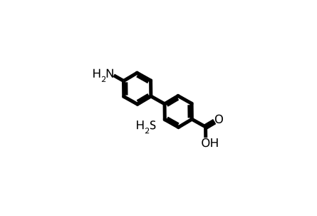 Nc1ccc(-c2ccc(C(=O)O)cc2)cc1.S